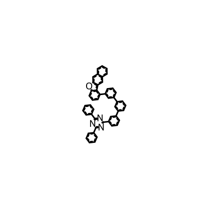 c1ccc(-c2nc(-c3ccccc3)nc(-c3cccc(-c4cccc(-c5cccc(-c6cccc7oc8cc9ccccc9cc8c67)c5)c4)c3)n2)cc1